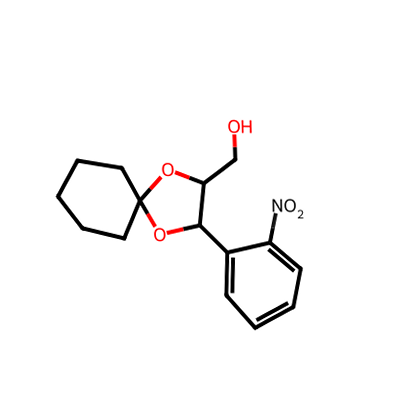 O=[N+]([O-])c1ccccc1C1OC2(CCCCC2)OC1CO